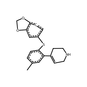 Cc1ccc(Sc2ccc3c(c2)OCO3)c(C2=CCNCC2)c1